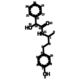 CC(CCc1ccc(O)cc1)NC(=O)C(O)c1ccccc1